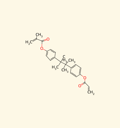 C=CC(=O)Oc1ccc(C(C)(C)C(C)(C)c2ccc(OC(=O)C(=C)C)cc2)cc1